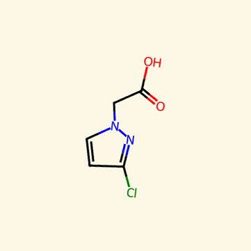 O=C(O)Cn1ccc(Cl)n1